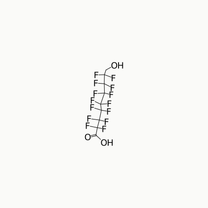 O=C(O)C(F)(F)C(F)(F)C(F)(F)C(F)(F)C(F)(F)C(F)(F)C(F)(F)CO